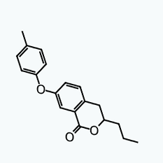 CCCC1Cc2ccc(Oc3ccc(C)cc3)cc2C(=O)O1